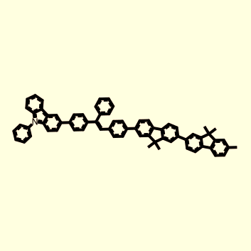 Cc1ccc2c(c1)C(C)(C)c1cc(-c3ccc4c(c3)C(C)(C)c3cc(-c5ccc(/C=C(\c6ccccc6)c6ccc(-c7ccc8c(c7)c7ccccc7n8-c7ccccc7)cc6)cc5)ccc3-4)ccc1-2